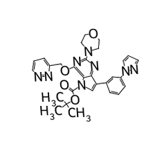 CC(C)(C)OC(=O)n1cc(-c2cccc(-n3cccn3)c2)c2nc(N3CCOCC3)nc(OCc3cccnn3)c21